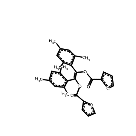 Cc1cc(C)c(C(OC(=O)c2ccco2)=C(OC(=O)c2ccco2)c2c(C)cc(C)cc2C)c(C)c1